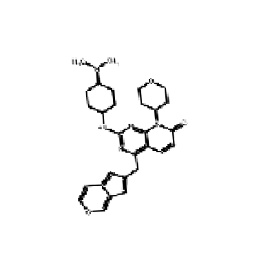 CN(C)C1CCC(Nc2nc(Cc3cc4ccocc-4c3)c3ccc(=O)n(C4CCOCC4)c3n2)CC1